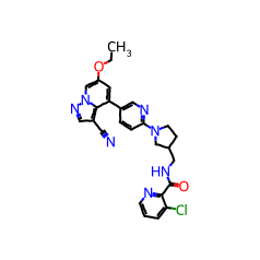 CCOc1cc(-c2ccc(N3CCC(CNC(=O)c4ncccc4Cl)C3)nc2)c2c(C#N)cnn2c1